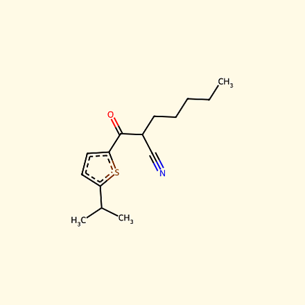 CCCCCC(C#N)C(=O)c1ccc(C(C)C)s1